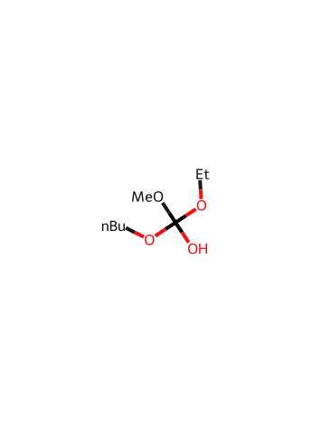 [CH2]COC(O)(OC)OCCCC